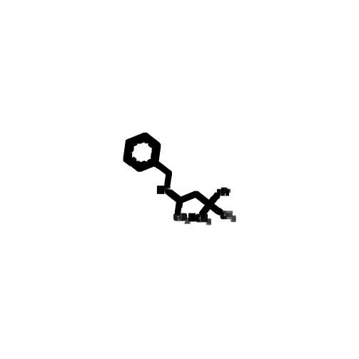 CCCC(C)(C)CC(NCc1ccccc1)C(=O)O